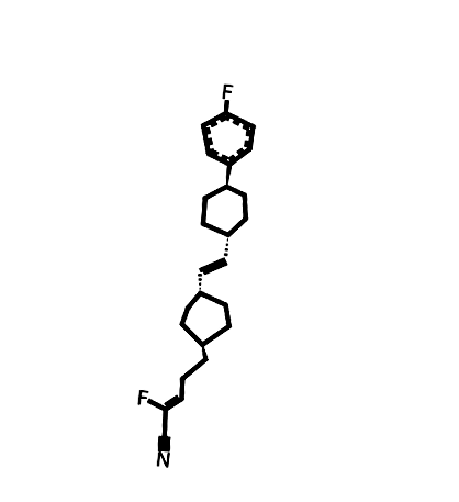 N#CC(F)=CCC[C@H]1CC[C@H](C=C[C@H]2CC[C@H](c3ccc(F)cc3)CC2)CC1